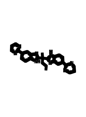 CCCC(C)(c1nc2cc(-c3ncccn3)ccc2[nH]1)c1nc2cc(-c3ncccn3)ccc2[nH]1